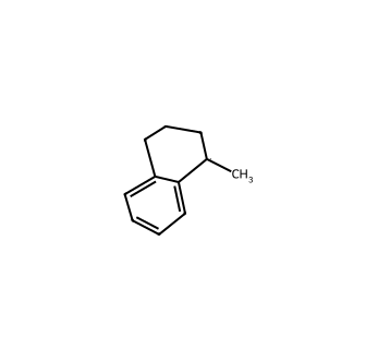 C[C]1CCCc2ccccc21